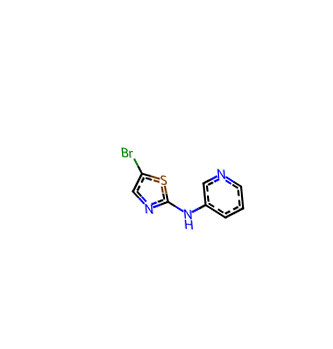 Brc1cnc(Nc2cccnc2)s1